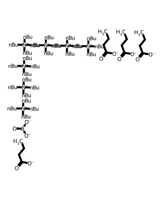 CCCC(=O)[O-].CCCC(=O)[O-].CCCC(=O)[O-].CCCC(=O)[O-].CCCC[N+](CCCC)(CCCC)CCCC.CCCC[N+](CCCC)(CCCC)CCCC.CCCC[N+](CCCC)(CCCC)CCCC.CCCC[N+](CCCC)(CCCC)CCCC.CCCC[N+](CCCC)(CCCC)CCCC.CCCC[N+](CCCC)(CCCC)CCCC.CCCC[N+](CCCC)(CCCC)CCCC.[O-]B([O-])[O-]